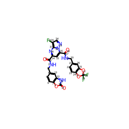 O=C(NCc1ccc2oc(=O)[nH]c2c1)c1cc(C(=O)NCc2ccc3c(c2)OC(F)(F)O3)n2ncc(F)c2n1